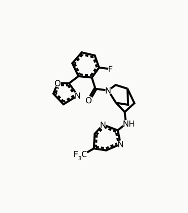 O=C(c1c(F)cccc1-c1ncco1)N1CC2CC(Nc3ncc(C(F)(F)F)cn3)C1C2